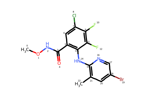 CONC(=O)c1cc(Cl)c(F)c(F)c1Nc1ncc(Br)cc1C